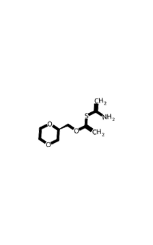 C=C(N)SC(=C)OC[C@H]1COCCO1